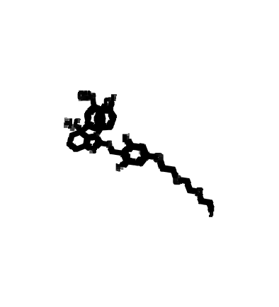 COc1cc(C2(C)CCCc3nc(SCc4c(F)cc(OCCOCCOCCI)cc4F)n(-c4ccc(F)cc4)c32)ccc1Cl